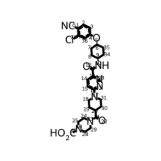 N#Cc1ccc(O[C@H]2CC[C@H](NC(=O)c3ccc(N4CCC(C(=O)N5CCN(C(=O)O)CC5)CC4)nn3)CC2)cc1Cl